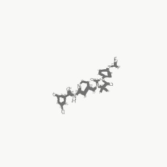 CC1(C)C(=O)N(c2ccc(SC(F)F)cc2)C(=O)N1Cc1ccnc(NC(=O)c2cc(Cl)cc(Cl)c2)c1